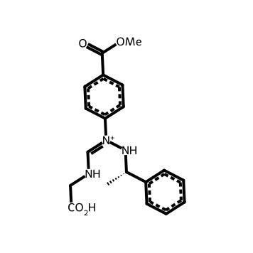 COC(=O)c1ccc([N+](=CNCC(=O)O)N[C@@H](C)c2ccccc2)cc1